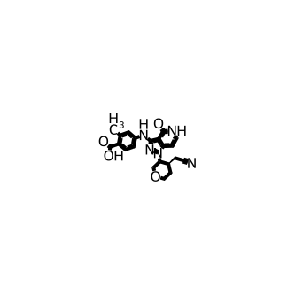 Cc1cc(Nc2nn(C3COCC[C@@H]3CC#N)c3cc[nH]c(=O)c23)ccc1C(=O)O